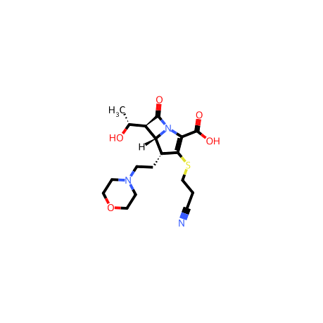 C[C@@H](O)[C@H]1C(=O)N2C(C(=O)O)=C(SCCC#N)[C@H](CCN3CCOCC3)[C@H]12